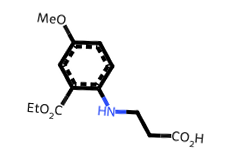 CCOC(=O)c1cc(OC)ccc1NCCC(=O)O